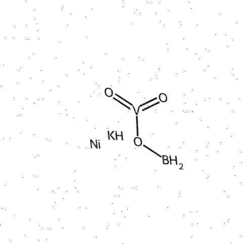 B[O][V](=[O])=[O].[KH].[Ni]